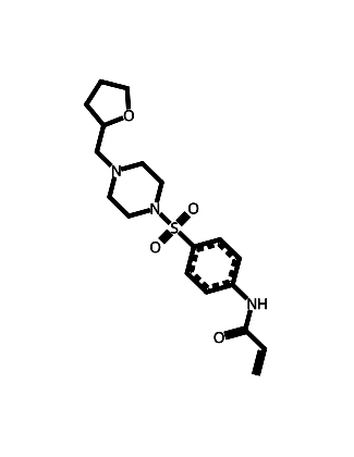 C=CC(=O)Nc1ccc(S(=O)(=O)N2CCN(CC3CCCO3)CC2)cc1